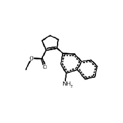 COC(=O)C1=C(c2cc(N)c3ccccc3c2)CCC1